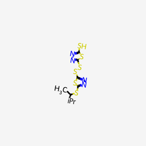 CC(C)C(C)Sc1nnc(SSc2nnc(S)s2)s1